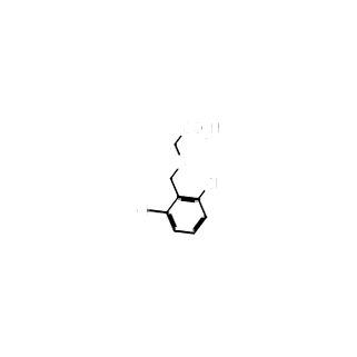 O=C(O)CSCc1c(Cl)cccc1Cl